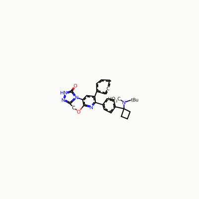 CC(C)(C)N(C(=O)O)C1(c2ccc(-c3nc4c(cc3-c3ccccc3)-n3c(n[nH]c3=O)CO4)cc2)CCC1